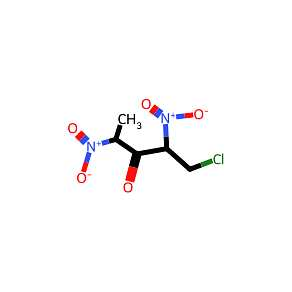 CC(C(=O)C(CCl)[N+](=O)[O-])[N+](=O)[O-]